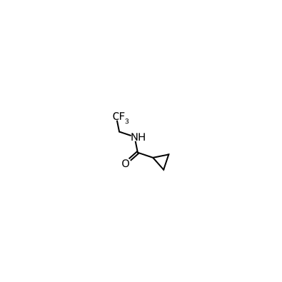 O=C(NCC(F)(F)F)C1CC1